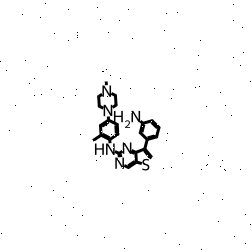 Cc1cc(N2CCN(C)CC2)ccc1Nc1ncc2scc(-c3cccc(N)c3)c2n1